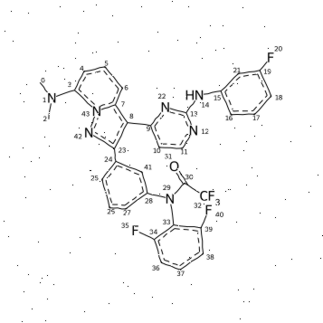 CN(C)c1cccc2c(-c3ccnc(Nc4cccc(F)c4)n3)c(-c3cccc(N(C(=O)C(F)(F)F)c4c(F)cccc4F)c3)nn12